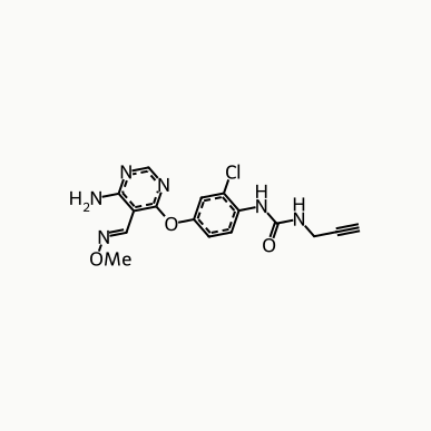 C#CCNC(=O)Nc1ccc(Oc2ncnc(N)c2C=NOC)cc1Cl